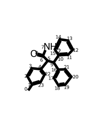 Cc1ccc(C(C(N)=O)C(c2ccccc2)c2ccccc2)cc1